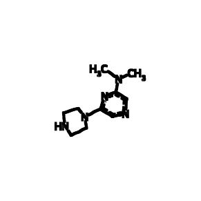 CN(C)c1cncc(N2CCNCC2)n1